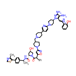 Cc1ncsc1-c1ccc([C@H](C)NC(=O)[C@@H]2C[C@@H](O)CN2C(=O)C(c2cc(N3CCC(CN4CCC(c5ccc(N6CCC(n7nc(N)c(N)c7/C=C(\N)c7ccccc7O)CC6)nc5)CC4)CC3)no2)C(C)C)cc1